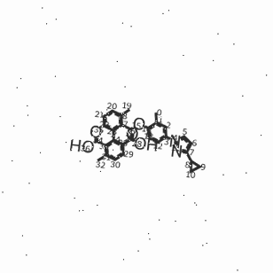 Cc1cc(-n2ccc(C3CC3)n2)ccc1OCc1c(C)cccc1-c1c(C(=O)O)ccc(C)c1C(=O)O